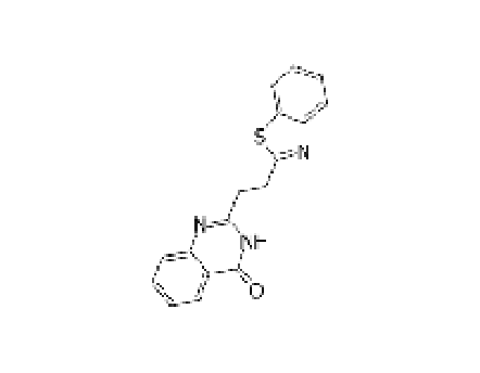 O=c1[nH]c(CCc2nc3ccccc3s2)nc2ccccc12